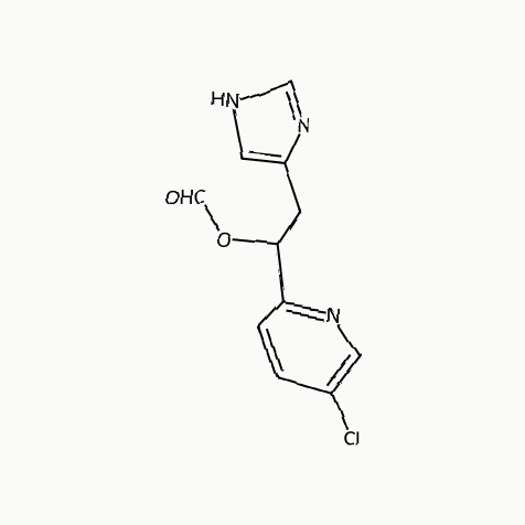 O=COC(Cc1c[nH]cn1)c1ccc(Cl)cn1